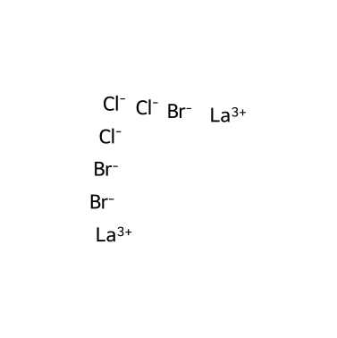 [Br-].[Br-].[Br-].[Cl-].[Cl-].[Cl-].[La+3].[La+3]